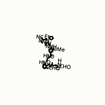 CCC1c2c(C#N)ncn2-c2cnc(Nc3ccc(C(=O)NCCCNc4cccc(C)c4C(=O)N(C=O)C(C)CCC(=O)NC=O)cc3OC)nc2N1C1CCCC1